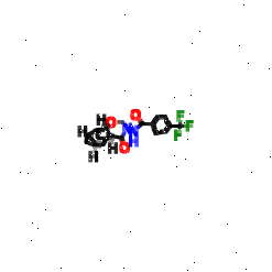 O=C(NN1CO[C@@H]2C3CCC([C@H]4C[C@@H]34)[C@@H]2C1=O)c1ccc(C(F)(F)F)cc1